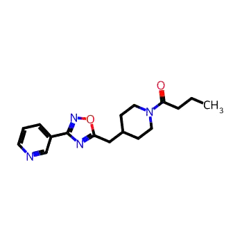 CCCC(=O)N1CCC(Cc2nc(-c3cccnc3)no2)CC1